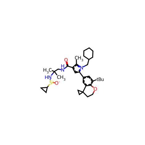 Cc1c(C(=O)NCC(C)(C)N[S+]([O-])C2CC2)cc(-c2cc(C(C)(C)C)c3c(c2)C2(CCO3)CC2)n1CC1CCCCC1